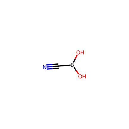 N#CB(O)O